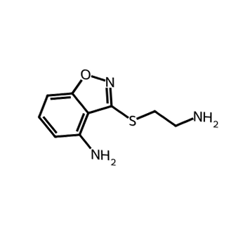 NCCSc1noc2cccc(N)c12